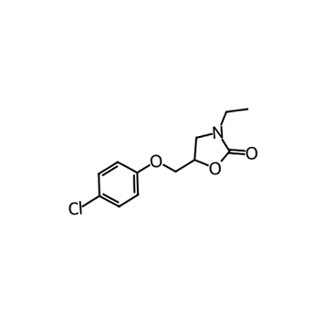 CCN1CC(COc2ccc(Cl)cc2)OC1=O